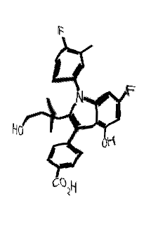 Cc1cc(-n2c(C(C)(C)CO)c(-c3ccc(C(=O)O)cc3)c3c(O)cc(F)cc32)ccc1F